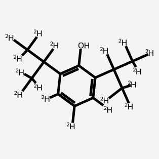 [2H]c1c([2H])c(C([2H])(C([2H])([2H])[2H])C([2H])([2H])[2H])c(O)c(C([2H])(C([2H])([2H])[2H])C([2H])([2H])[2H])c1[2H]